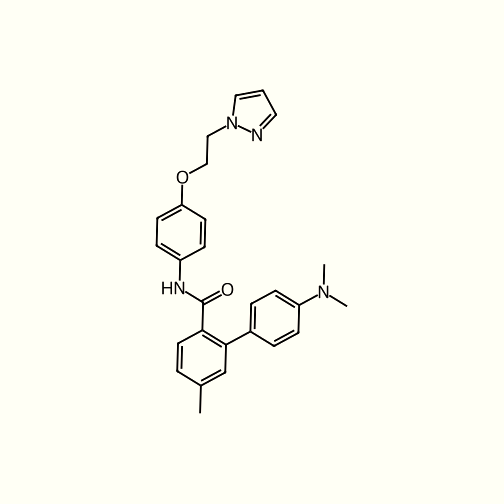 Cc1ccc(C(=O)Nc2ccc(OCCn3cccn3)cc2)c(-c2ccc(N(C)C)cc2)c1